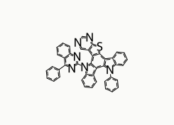 c1ccc(-c2nc(-n3c4ccccc4c4c5c(c6ccccc6n5-c5ccccc5)c5sc6ncncc6c5c43)nc3ccccc23)cc1